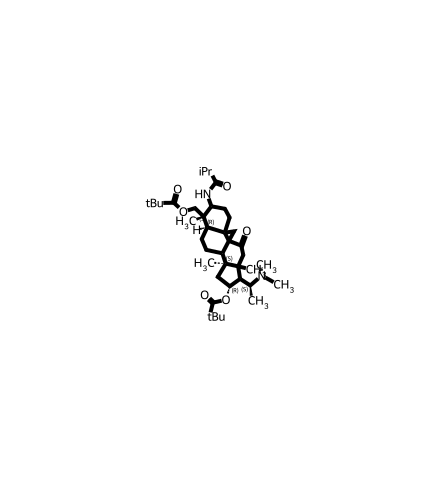 CC(C)C(=O)NC1CCC23CC24C(=O)CC2(C)C([C@H](C)N(C)C)[C@H](OC(=O)C(C)(C)C)C[C@@]2(C)C4CC[C@H]3[C@]1(C)COC(=O)C(C)(C)C